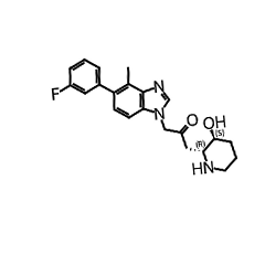 Cc1c(-c2cccc(F)c2)ccc2c1ncn2CC(=O)C[C@H]1NCCC[C@@H]1O